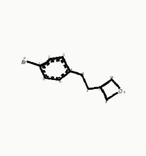 Brc1ccc(CCC2COC2)cc1